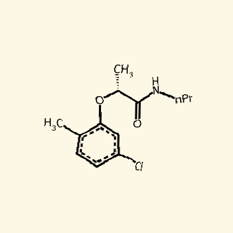 CCCNC(=O)[C@@H](C)Oc1cc(Cl)ccc1C